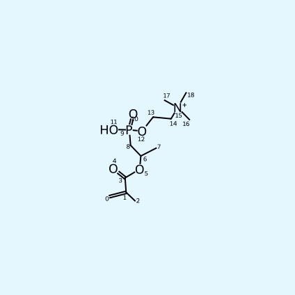 C=C(C)C(=O)OC(C)CP(=O)(O)OCC[N+](C)(C)C